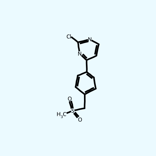 CS(=O)(=O)Cc1ccc(-c2ccnc(Cl)n2)cc1